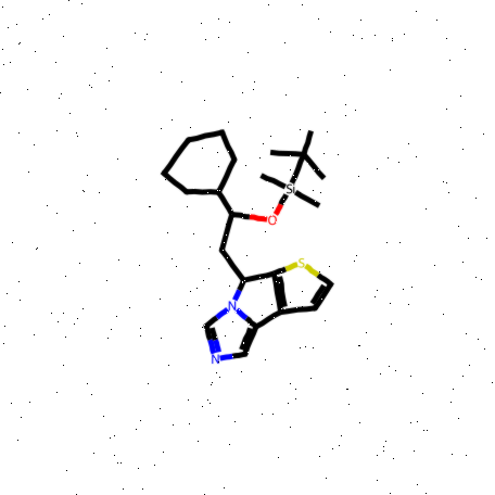 CC(C)(C)[Si](C)(C)OC(CC1c2sccc2-c2cncn21)C1CCCCC1